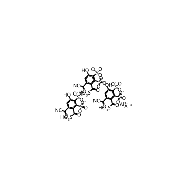 N#CC(=O)c1cc(O)c(S(=O)(=O)[O-])c(S(=O)(=O)[O-])c1C(=O)S(=O)(=O)O.N#CC(=O)c1cc(O)c(S(=O)(=O)[O-])c(S(=O)(=O)[O-])c1C(=O)S(=O)(=O)O.N#CC(=O)c1cc(O)c(S(=O)(=O)[O-])c(S(=O)(=O)[O-])c1C(=O)S(=O)(=O)O.[Al+3].[Al+3]